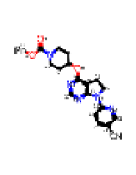 CC(C)OC(=O)N1CCC(Oc2ncnc3c2CCN3c2ccc(C#N)cn2)CC1